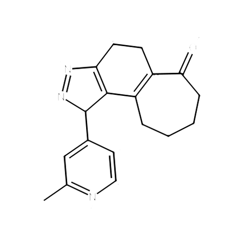 Cc1cc(C2N=NC3=C2C2=C(CC3)C(=O)CCCC2)ccn1